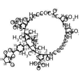 CC1=C2C(C)=[N+]3C1=C(c1ccc(C(=O)ON4C(=O)CCC4=O)cc1)c1c(C)c(c(C)n1[B-]3(F)F)-c1sc(P(=O)(O)O)cc1C(=O)NCCCCCC(=O)CC(CS(=O)(=O)O)C(=O)NC(CS(=O)(=O)O)C(=O)NCCCCCNC(=O)c1cc(P(=O)(O)O)sc12